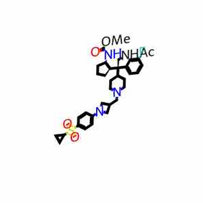 COC(=O)N[C@H]1CCC[C@@H]1[C@](CNC(C)=O)(c1cccc(F)c1)C1CCN(CC2CN(c3ccc(S(=O)(=O)C4CC4)cc3)C2)CC1